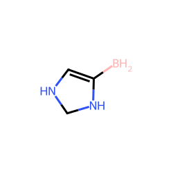 BC1=CNCN1